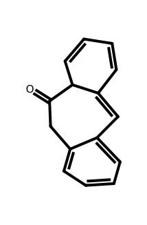 O=C1Cc2ccccc2C=C2C=CC=CC12